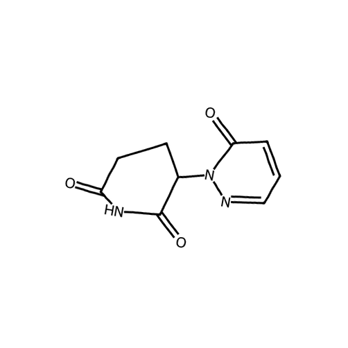 O=C1CCC(n2ncccc2=O)C(=O)N1